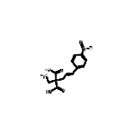 CCC(CC=Cc1ccc([N+](=O)[O-])cc1)(C(=O)O)C(=O)O